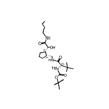 CCCCNC(=O)C(O)[C@H]1CCC[C@H]1CNC(=O)[C@@H](NC(=O)OC(C)(C)C)C(C)(C)C